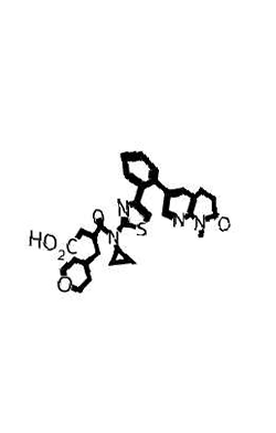 CN1C(=O)CCc2cc(-c3ccccc3-c3csc(N(C(=O)C(CC(=O)O)CC4CCOCC4)C4CC4)n3)cnc21